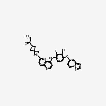 C=CC(=O)N1CC2(C1)CN(c1ccc3ncnc(Nc4ccc(Oc5ccn6ncnc6c5)c(Cl)c4F)c3n1)C2